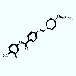 CCCCCO[C@H]1CC[C@H](COc2ccc(C(=O)Oc3ccc(C#N)c(F)c3)cc2)CC1